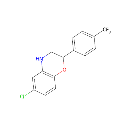 FC(F)(F)c1ccc(C2CNc3cc(Cl)ccc3O2)cc1